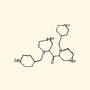 O=C(C1CNCCN1CC1CCNCC1)C1CNCCN1CC1CCNCC1